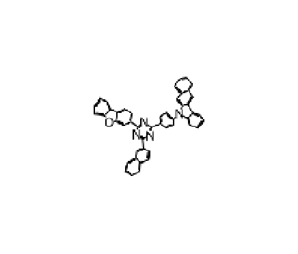 c1ccc2cc(-c3nc(-c4ccc(-n5c6ccccc6c6cc7ccccc7cc65)cc4)nc(-c4ccc5c(c4)oc4ccccc45)n3)ccc2c1